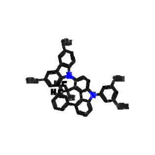 CCC(C)(C)c1c(-n2c3ccc(C(C)(C)C)cc3c3cc(C(C)(C)C)ccc32)ccc2c1c1c(-c3ccccc3)cccc1n2-c1cc(C(C)(C)C)cc(C(C)(C)C)c1